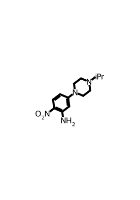 CC(C)N1CCN(c2ccc([N+](=O)[O-])c(N)c2)CC1